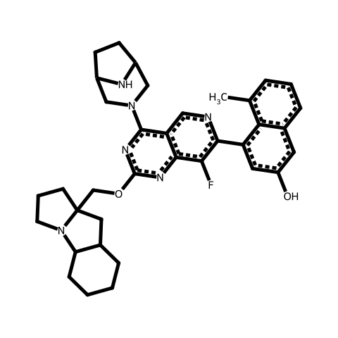 Cc1cccc2cc(O)cc(-c3ncc4c(N5CC6CCC(C5)N6)nc(OCC56CCCN5C5CCCCC5C6)nc4c3F)c12